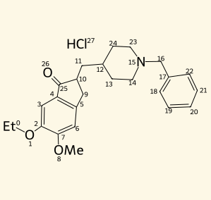 CCOc1cc2c(cc1OC)CC(CC1CCN(Cc3ccccc3)CC1)C2=O.Cl